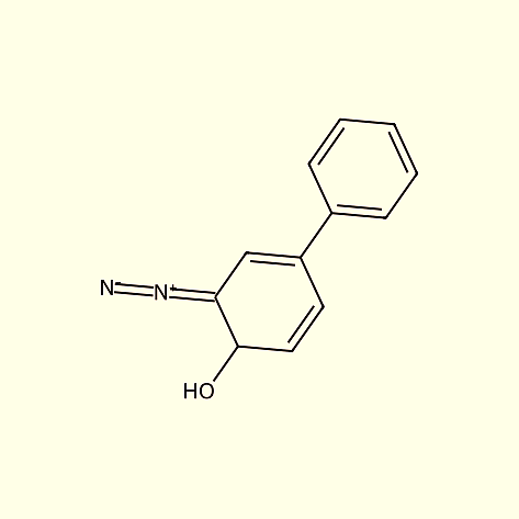 [N-]=[N+]=C1C=C(c2ccccc2)C=CC1O